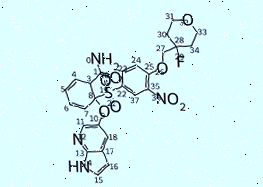 NC(=O)C1C=CC=CC1(Oc1cnc2[nH]ccc2c1)S(=O)(=O)c1ccc(OCC2(F)CCOCC2)c([N+](=O)[O-])c1